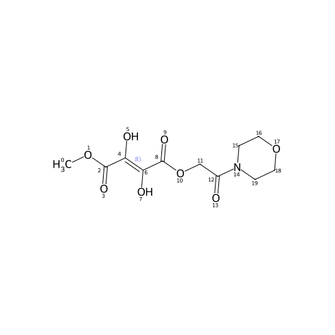 COC(=O)/C(O)=C(\O)C(=O)OCC(=O)N1CCOCC1